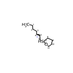 CCCC/C=C/C[SiH]1CCCCO1